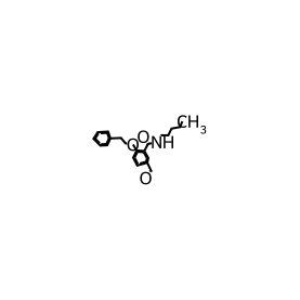 CCCCCNC(=O)c1cc(C=O)ccc1OCCc1ccccc1